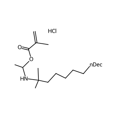 C=C(C)C(=O)OC(C)NC(C)(C)CCCCCCCCCCCCCCC.Cl